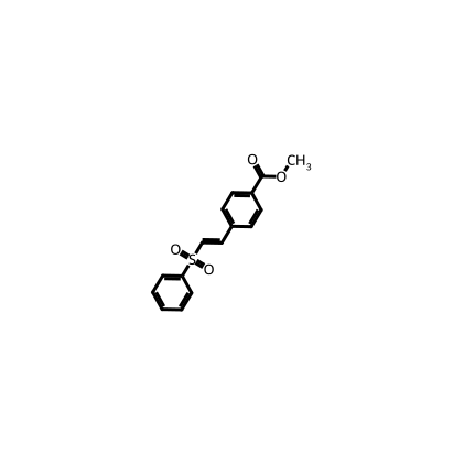 COC(=O)c1ccc(C=CS(=O)(=O)c2ccccc2)cc1